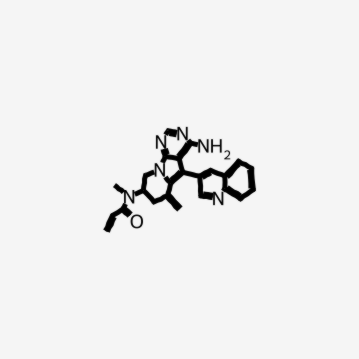 C=CC(=O)N(C)C1CC(=C)c2c(-c3cnc4ccccc4c3)c3c(N)ncnc3n2C1